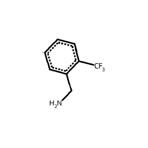 NCc1c[c]ccc1C(F)(F)F